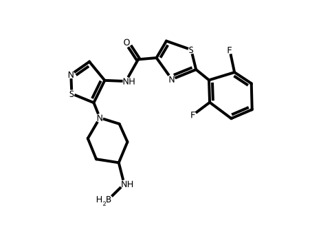 BNC1CCN(c2sncc2NC(=O)c2csc(-c3c(F)cccc3F)n2)CC1